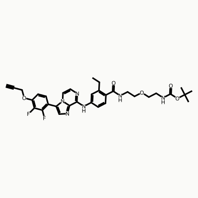 C#CCOc1ccc(-c2cnc3c(Nc4ccc(C(=O)NCCOCCNC(=O)OC(C)(C)C)c(CC)c4)nccn23)c(F)c1F